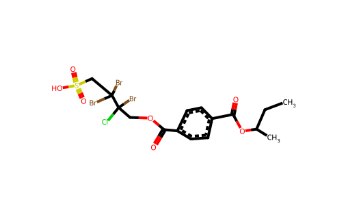 CCC(C)OC(=O)c1ccc(C(=O)OCC(Cl)(Br)C(Br)(Br)CS(=O)(=O)O)cc1